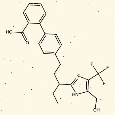 CCC(CCc1ccc(-c2ccccc2C(=O)O)cc1)c1nc(C(F)(F)F)c(CO)[nH]1